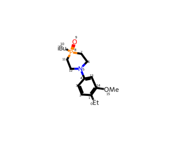 CCc1ccc(N2CCP(=O)(C(C)CC)CC2)cc1OC